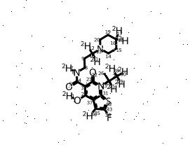 [2H]Oc1c(C(=O)N([2H])CCC([2H])([2H])N2CCC([2H])([2H])CC2)c(=O)n(C([2H])(C)C([2H])([2H])[2H])c2sc(F)c([2H])c12